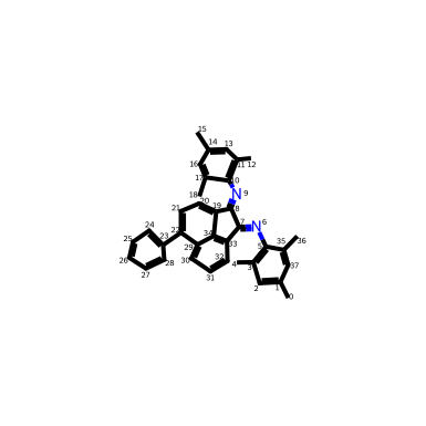 Cc1cc(C)c(N=C2C(=Nc3c(C)cc(C)cc3C)c3ccc(-c4ccccc4)c4cccc2c34)c(C)c1